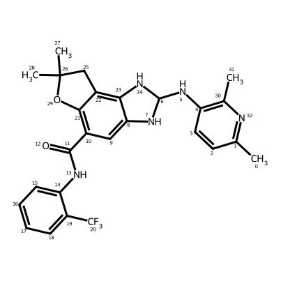 Cc1ccc(NC2Nc3cc(C(=O)Nc4ccccc4C(F)(F)F)c4c(c3N2)CC(C)(C)O4)c(C)n1